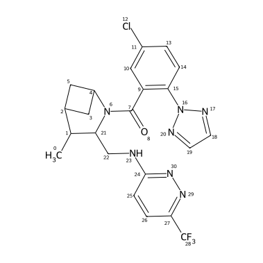 CC1C2CC(C2)N(C(=O)c2cc(Cl)ccc2-n2nccn2)C1CNc1ccc(C(F)(F)F)nn1